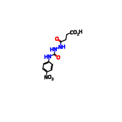 O=C(O)CCC(=O)NNC(=O)Nc1ccc([N+](=O)[O-])cc1